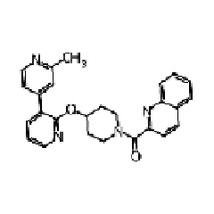 Cc1cc(-c2cccnc2OC2CCN(C(=O)c3ccc4ccccc4n3)CC2)ccn1